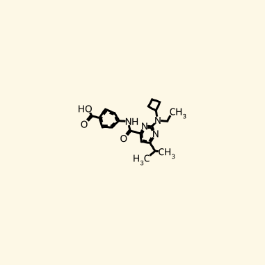 CCN(c1nc(C(=O)Nc2ccc(C(=O)O)cc2)cc(C(C)C)n1)C1CCC1